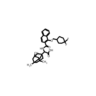 CC12CC3(C)CC(C)(C1)CC(C(NC(=O)c1ccc4ccccc4c1OCC1CCC(F)(F)CC1)C(=O)O)(C2)C3